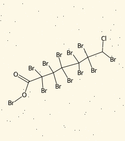 O=C(OBr)C(Br)(Br)C(Br)(Br)C(Br)(Br)C(Br)(Br)C(Br)(Br)C(Cl)Br